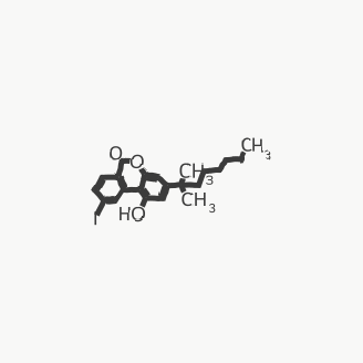 CCCCCCC(C)(C)c1cc(O)c2c(c1)oc(=O)c1ccc(I)cc12